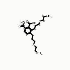 CCCSCCCc1ccc(C(=O)O)c(C(=O)O)c1CCCSCCC